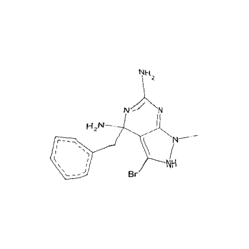 CN1NC(Br)=C2C1=NC(N)=NC2(N)Cc1ccccc1